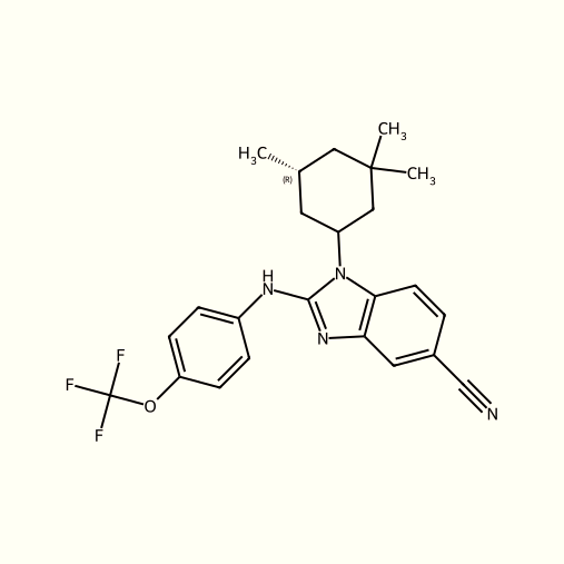 C[C@H]1CC(n2c(Nc3ccc(OC(F)(F)F)cc3)nc3cc(C#N)ccc32)CC(C)(C)C1